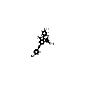 N#Cc1ccc(C#Cc2ccc3c(c2)C(=O)OC32c3ccc(O)cc3Oc3cc(O)ccc32)cc1